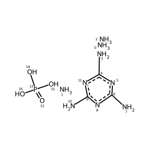 N.N.N.Nc1nc(N)nc(N)n1.O=P(O)(O)O